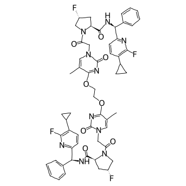 Cc1cn(CC(=O)N2C[C@H](F)C[C@H]2C(=O)N[C@@H](c2ccccc2)c2ccc(C3CC3)c(F)n2)c(=O)nc1OCCOc1nc(=O)n(CC(=O)N2C[C@H](F)C[C@H]2C(=O)N[C@@H](c2ccccc2)c2ccc(C3CC3)c(F)n2)cc1C